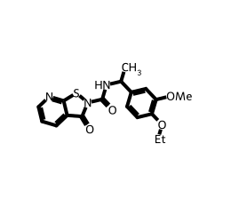 CCOc1ccc(C(C)NC(=O)n2sc3ncccc3c2=O)cc1OC